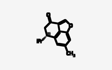 Cc1cc2c3c(coc3c1)C(=O)C[C@H]2C(C)C